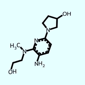 CN(CCO)c1nc(N2CCC(O)C2)ccc1N